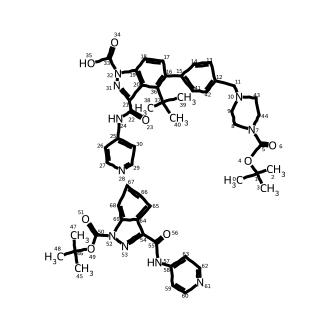 CC(C)(C)OC(=O)N1CCN(Cc2ccc(-c3ccc4c(c(C(=O)Nc5ccncc5)nn4C(=O)O)c3C(C)(C)C)cc2)CC1.CC(C)(C)OC(=O)n1nc(C(=O)Nc2ccncc2)c2ccccc21